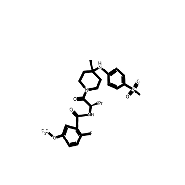 CC(C)[C@@H](NC(=O)c1cc(OC(F)(F)F)ccc1F)C(=O)N1CCC(C)(Nc2ccc(S(C)(=O)=O)cc2)CC1